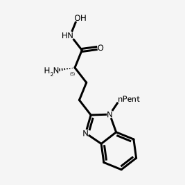 CCCCCn1c(CC[C@H](N)C(=O)NO)nc2ccccc21